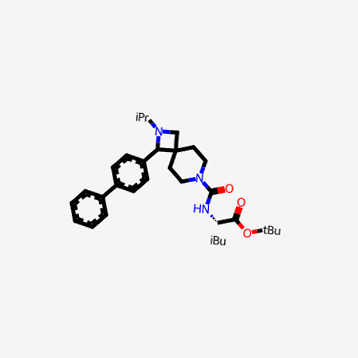 CC[C@H](C)[C@H](NC(=O)N1CCC2(CC1)CN(C(C)C)C2c1ccc(-c2ccccc2)cc1)C(=O)OC(C)(C)C